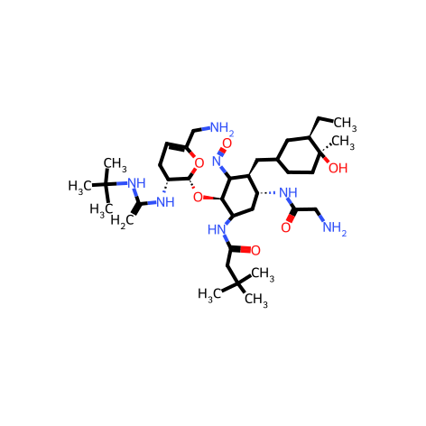 C=C(N[C@@H]1CC=C(CN)O[C@@H]1O[C@@H]1C(NC(=O)CC(C)(C)C)C[C@@H](NC(=O)CN)[C@H](CC2CC[C@](C)(O)[C@H](CC)C2)C1N=O)NC(C)(C)C